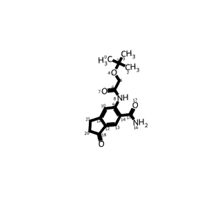 CC(C)(C)OCC(=O)Nc1cc2c(cc1C(N)=O)C(=O)CC2